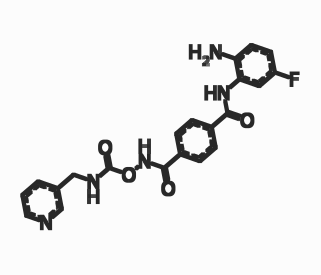 Nc1ccc(F)cc1NC(=O)c1ccc(C(=O)NOC(=O)NCc2cccnc2)cc1